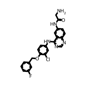 NCC(=O)Nc1ccc2ncnc(Nc3ccc(OCc4cccc(F)c4)c(Cl)c3)c2c1